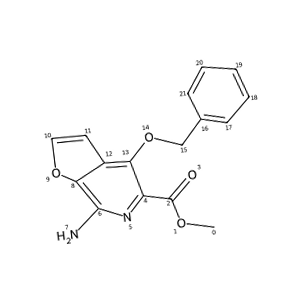 COC(=O)c1nc(N)c2occc2c1OCc1ccccc1